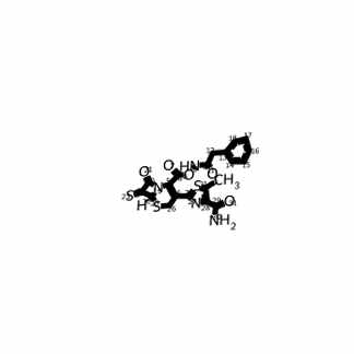 Cc1sc(C2=C(C(=O)ONC(=O)Cc3ccccc3)N3C(=O)C(=S)[C@@H]3SC2)nc1C(N)=O